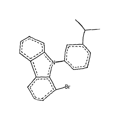 CC(C)c1cccc(-n2c3ccccc3c3cccc(Br)c32)c1